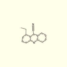 CCc1cccc2nc3ccccc3c(C#N)c12